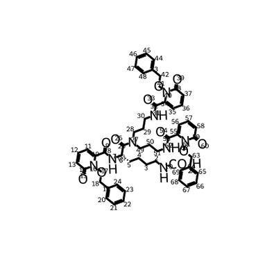 O=C(O)NCCCC[C@H](NC(=O)c1cccc(=O)n1OCc1ccccc1)C(=O)N(CCCNC(=O)c1cccc(=O)n1OCc1ccccc1)CCCNC(=O)c1cccc(=O)n1OCc1ccccc1